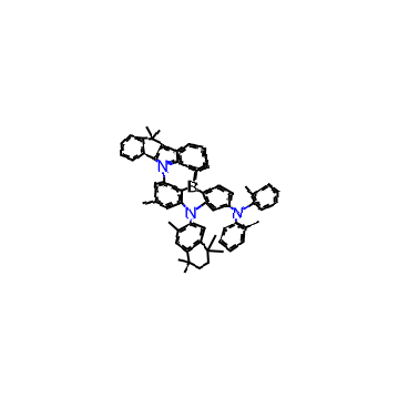 Cc1cc2c3c(c1)-n1c4c(c5cccc(c51)B3c1ccc(N(c3ccccc3C)c3ccccc3C)cc1N2c1cc2c(cc1C)C(C)(C)CCC2(C)C)C(C)(C)c1ccccc1-4